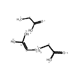 CCC(=O)O.CCC(=O)O.CCC=C(O)O